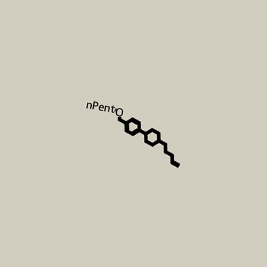 C=CCCCC1CCC(c2ccc(COCCCCC)cc2)CC1